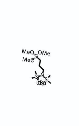 CO[Si](CCCN([Si](C)(C)C(C)(C)C)[Si](C)(C)C(C)(C)C)(OC)OC